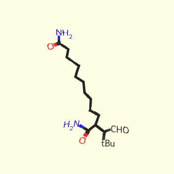 CC(C)(C)C(C=O)C(CCCCCCCCCC(N)=O)C(N)=O